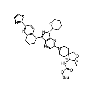 C[C@@H]1OCC2(CCN(c3cnc4c(N5CCCc6nc(-c7nccs7)ccc65)nn(C5CCCCO5)c4n3)CC2)[C@@H]1NC(=O)OC(C)(C)C